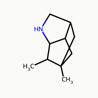 CC1C2NCC3CC1(C)CC32